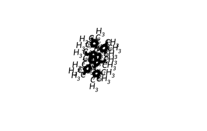 Cc1cc(N(c2cc(C)c(C)c(C)c2)c2cc(C(C)C)c3ccc4c(N(c5cc(C)c(C)c(C)c5)c5cc(C)c(C)c(C)c5)cc(C(C)C)c5ccc2c3c54)cc(C)c1C